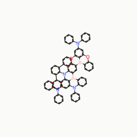 c1ccc(-c2cccc(-c3ccccc3)c2N2c3cc4c(cc3B3c5ccccc5N(c5ccccc5)c5cc(N(c6ccccc6)c6ccccc6)cc2c53)B2c3ccccc3Oc3cc(N(c5ccccc5)c5ccccc5)cc(c32)O4)cc1